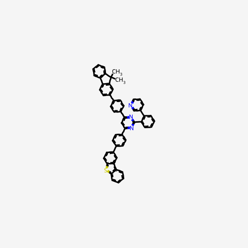 CC1(C)c2ccccc2-c2ccc(-c3ccc(-c4cc(-c5ccc(-c6ccc7sc8ccccc8c7c6)cc5)nc(-c5ccccc5-c5cccnc5)n4)cc3)cc21